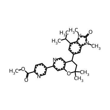 COC(=O)c1ccc(-c2cc3c(cn2)C(c2cc(C(C)C)c4c(c2)n(C)c(=O)n4C)CC(C)(C)O3)cn1